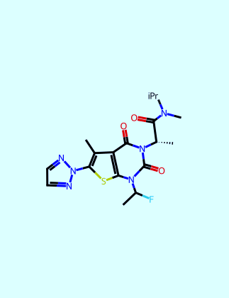 Cc1c(-n2nccn2)sc2c1c(=O)n([C@@H](C)C(=O)N(C)C(C)C)c(=O)n2C(C)F